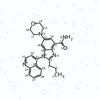 CCCc1nc2c(C(N)=O)cc(N3CCOCC3)cc2n1-c1ccnc2ccccc12